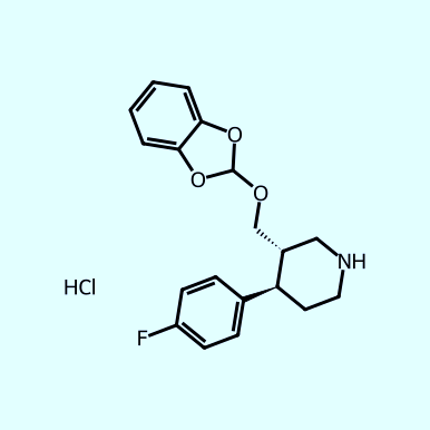 Cl.Fc1ccc([C@@H]2CCNC[C@H]2COC2Oc3ccccc3O2)cc1